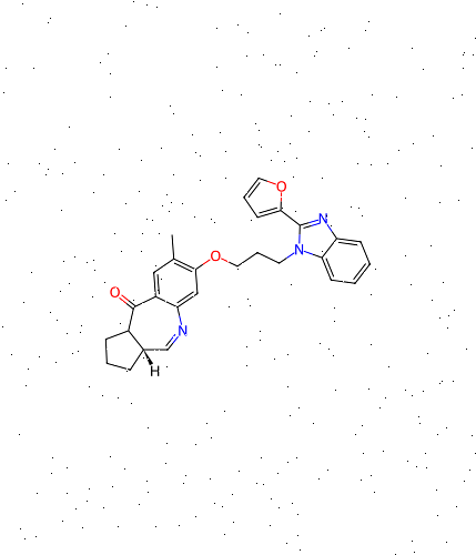 Cc1cc2c(cc1OCCCn1c(-c3ccco3)nc3ccccc31)N=C[C@@H]1CCCC1C2=O